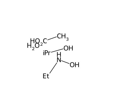 CC(=O)O.CC(C)O.CCNO.O